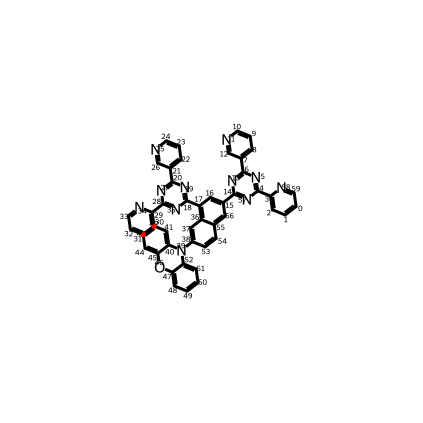 c1ccc(-c2nc(-c3cccnc3)nc(-c3cc(-c4nc(-c5cccnc5)nc(-c5ccccn5)n4)c4cc(N5c6ccccc6Oc6ccccc65)ccc4c3)n2)nc1